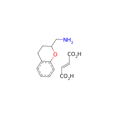 NCC1CCc2ccccc2O1.O=C(O)C=CC(=O)O